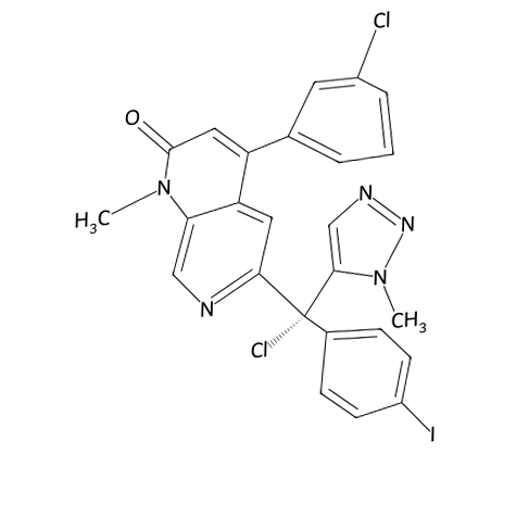 Cn1nncc1[C@@](Cl)(c1ccc(I)cc1)c1cc2c(-c3cccc(Cl)c3)cc(=O)n(C)c2cn1